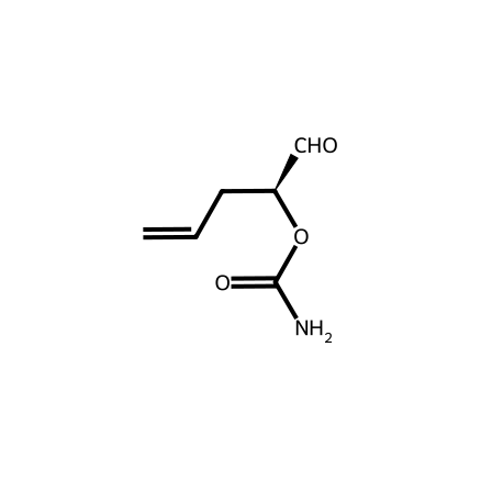 C=CC[C@@H](C=O)OC(N)=O